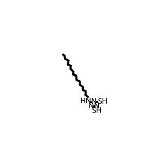 CCCCCCCC/C=C/CCCCCCCCNc1nc(S)nc(S)n1